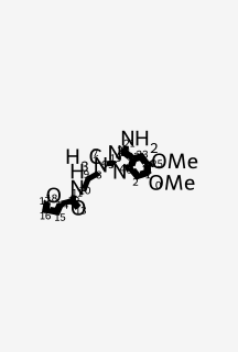 COc1cc2nc(N(C)CCCNC(=O)c3ccco3)nc(N)c2cc1OC